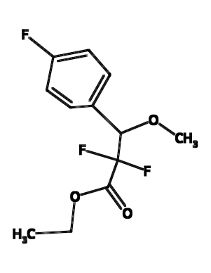 CCOC(=O)C(F)(F)C(OC)c1ccc(F)cc1